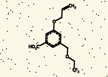 C=CCOc1cc(COCC(F)(F)F)cc(C(=O)O)c1